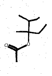 CCC(C)(OC(C)=O)C(C)C